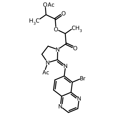 CC(=O)OC(C)C(=O)OC(C)C(=O)N1CCN(C(C)=O)/C1=N\c1ccc2nccnc2c1Br